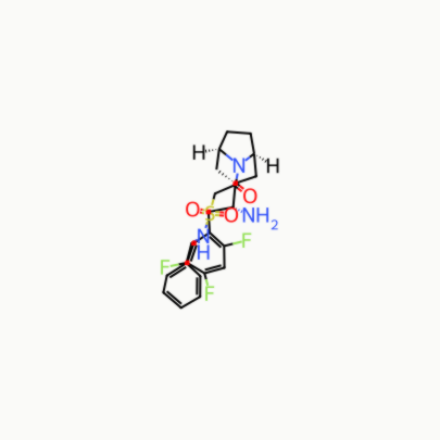 N[C@H](Cc1cc(F)c(F)cc1F)[C@@H]1C[C@H]2CC[C@@H](C1)N2C(=O)CS(=O)(=O)NCc1ccccc1